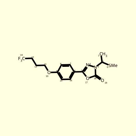 CSC(C)n1nc(-c2ccc(OCCCC(F)(F)F)cc2)oc1=O